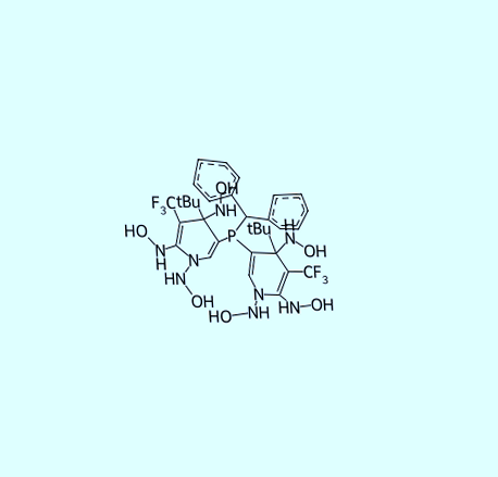 CC(C)(C)C1(NO)C(P(C2=CN(NO)C(NO)=C(C(F)(F)F)C2(NO)C(C)(C)C)C(c2ccccc2)c2ccccc2)=CN(NO)C(NO)=C1C(F)(F)F